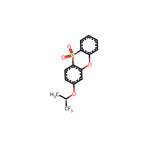 C[C@@H](Oc1ccc2c(c1)Oc1ccccc1S2(=O)=O)C(F)(F)F